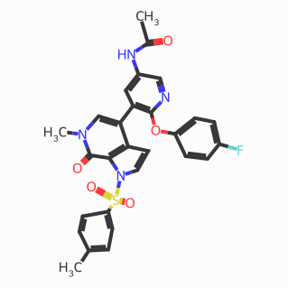 CC(=O)Nc1cnc(Oc2ccc(F)cc2)c(-c2cn(C)c(=O)c3c2ccn3S(=O)(=O)c2ccc(C)cc2)c1